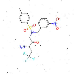 Cc1ccc(S(=O)(=O)N(CC(=O)[C@@H](N)CC(F)(F)F)Cc2cccc([N+](=O)[O-])c2)cc1